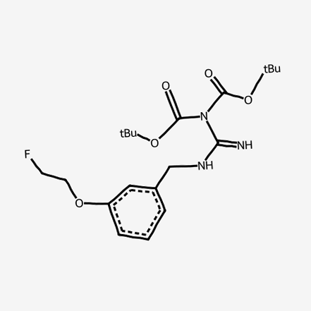 CC(C)(C)OC(=O)N(C(=N)NCc1cccc(OCCF)c1)C(=O)OC(C)(C)C